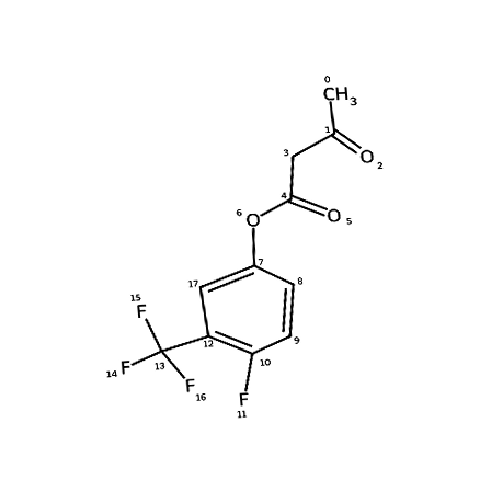 CC(=O)CC(=O)Oc1ccc(F)c(C(F)(F)F)c1